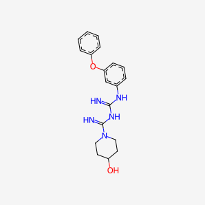 N=C(NC(=N)N1CCC(O)CC1)Nc1cccc(Oc2ccccc2)c1